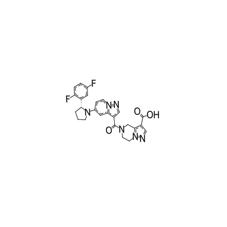 O=C(O)c1cnn2c1CN(C(=O)c1cnn3ccc(N4CCC[C@@H]4c4cc(F)ccc4F)cc13)CC2